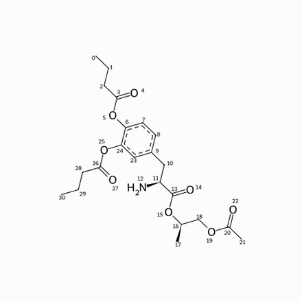 CCCC(=O)Oc1ccc(C[C@H](N)C(=O)O[C@H](C)COC(C)=O)cc1OC(=O)CCC